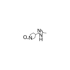 Cc1cnc(C2CCN(C=O)CC2)[nH]1